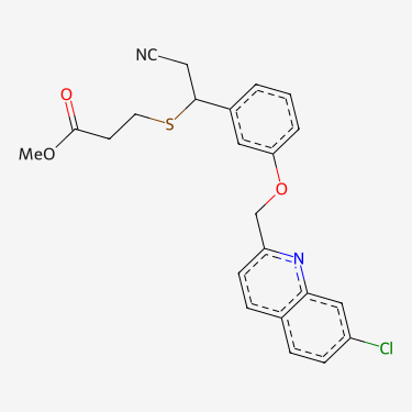 COC(=O)CCSC(CC#N)c1cccc(OCc2ccc3ccc(Cl)cc3n2)c1